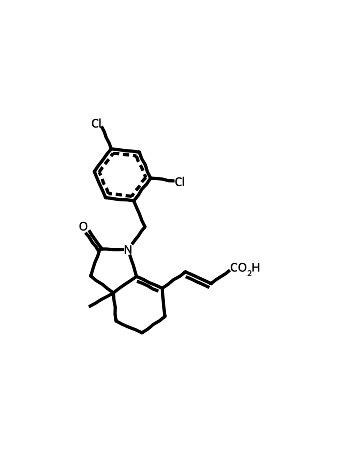 CC12CCCC(/C=C/C(=O)O)=C1N(Cc1ccc(Cl)cc1Cl)C(=O)C2